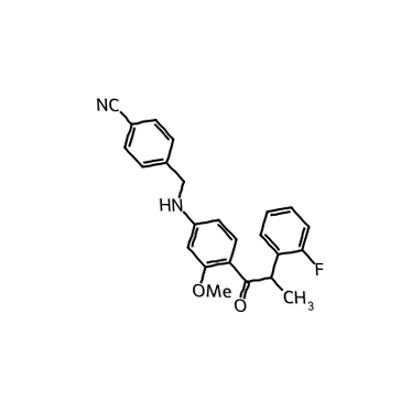 COc1cc(NCc2ccc(C#N)cc2)ccc1C(=O)C(C)c1ccccc1F